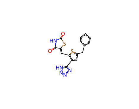 O=C1NC(=O)C(=Cc2sc(Cc3ccccc3)cc2-c2nnn[nH]2)S1